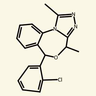 Cc1nnc2n1-c1ccccc1C(c1ccccc1Cl)OC2C